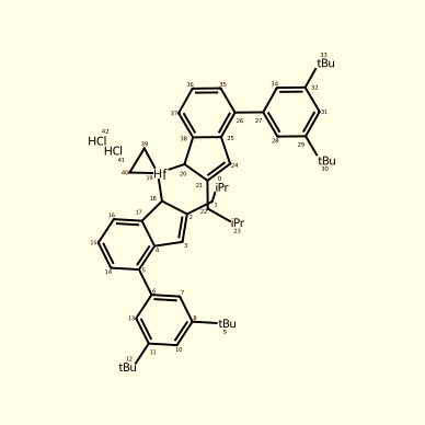 CC(C)CC1=Cc2c(-c3cc(C(C)(C)C)cc(C(C)(C)C)c3)cccc2[CH]1[Hf]1([CH]2C(CC(C)C)=Cc3c(-c4cc(C(C)(C)C)cc(C(C)(C)C)c4)cccc32)[CH2][CH2]1.Cl.Cl